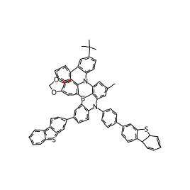 Cc1cc2c3c(c1)N(c1ccc(C(C)(C)C)cc1-c1ccccc1)c1cc4c(cc1B3c1cc(-c3ccc5c(c3)sc3ccccc35)ccc1N2c1ccc(-c2ccc3c(c2)SC2C=CC=CC32)cc1)OCO4